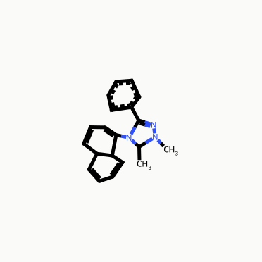 CC1N(C)N=C(c2ccccc2)N1C1=CC=CC2C=CC=CC12